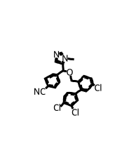 Cn1cncc1C(OCc1ccc(Cl)cc1-c1ccc(Cl)c(Cl)c1)c1ccc(C#N)cc1